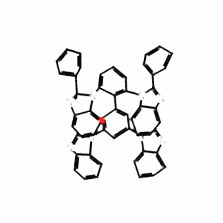 c1ccc(-c2nc3ccccc3n2-c2cccc(-n3c(-c4ccccc4)nc4ccccc43)c2-c2cc(-n3cnc4ccccc43)cc(-n3cnc4ccccc43)c2)cc1